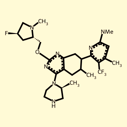 CNc1cc(C)c(C(F)(F)F)c(C2Cc3nc(OC[C@@H]4C[C@@H](F)CN4C)nc(N4CCNC[C@@H]4C)c3CC2C)n1